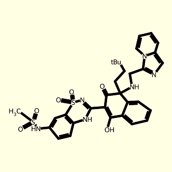 CC(C)(C)CCC1(NCc2ncc3ccccn23)C(=O)C(C2=NS(=O)(=O)c3cc(NS(C)(=O)=O)ccc3N2)=C(O)c2ccccc21